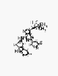 C[Si](C)(C)C#Cc1cnn2c(N[C@@H]3CCc4[nH]c5ccccc5c4C3)nc(-c3cncc(F)c3)nc12